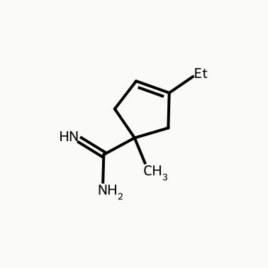 CCC1=CCC(C)(C(=N)N)C1